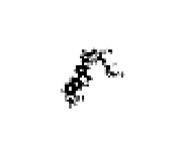 CCCN(Cc1ncc(-c2ccc3c(c2)COc2cc4c(ccc5nc(CC)[nH]c54)cc2-3)[nH]1)C(=O)CNC(=O)OC